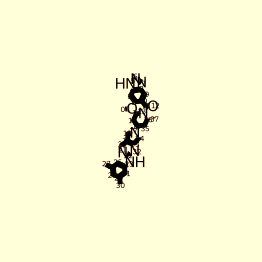 COc1cc2[nH]nnc2cc1C(=O)N1CC[C@@H](N2Cc3cnc(Nc4cc(C)cc(C)c4)nc3C2)C[C@H]1C